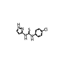 S=C(Nc1ccc(Cl)cc1)Nc1cc[nH]n1